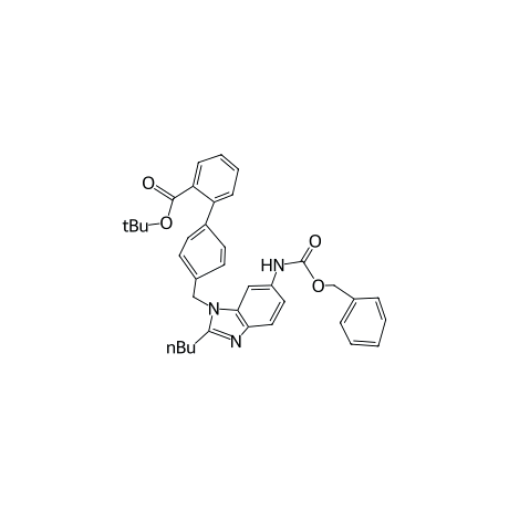 CCCCc1nc2ccc(NC(=O)OCc3ccccc3)cc2n1Cc1ccc(-c2ccccc2C(=O)OC(C)(C)C)cc1